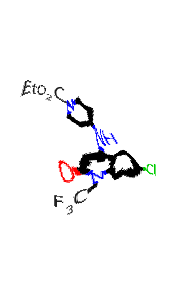 CCOC(=O)N1CCC(Nc2cc(=O)n(CC(F)(F)F)c3ccc(Cl)cc23)CC1